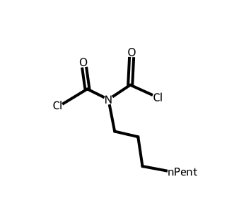 CCCCCCCCN(C(=O)Cl)C(=O)Cl